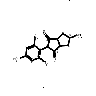 CCc1cc(C)cc(CC)c1C1C(=O)C2CC(N)CC2C1=O